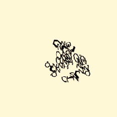 CCS(=O)(=O)c1nc2ccccn2c1S(=O)(=O)NC(=O)Nc1nc(OC)cc(OC)n1.CN1COCN(Cc2cnc(Cl)s2)/C1=N/[N+](=O)[O-]